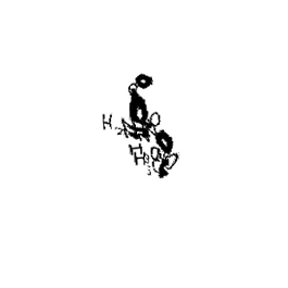 CN(C(=O)C1(C)CC1)c1cccc(-n2c(=O)n(-c3ccc(Oc4ccccc4)cc3)c3c(N)ncnc32)c1